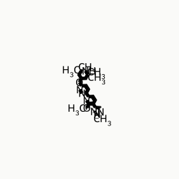 COc1nc(-c2ccc(OC3CC(C)(C)NC(C)(C)C3)nn2)ccc1-c1cnn(C)n1